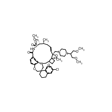 COCC(COC)N1CCN(C[C@]2(OC)/C=C/C[C@H](C)[C@@H](COC)S(=O)(=O)NC(=O)c3ccc4c(c3)N(C[C@@H]3CC[C@H]32)C[C@@]2(CCCc3cc(Cl)ccc32)CO4)CC1